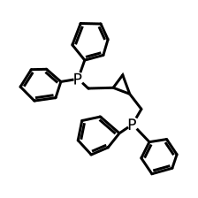 c1ccc(P(CC2CC2CP(c2ccccc2)c2ccccc2)c2ccccc2)cc1